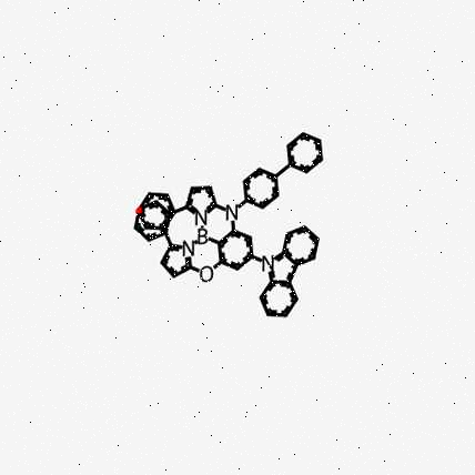 c1ccc(-c2ccc(N3c4cc(-n5c6ccccc6c6ccccc65)cc5c4B(n4c(ccc4-c4ccccc4)O5)n4c(-c5ccccc5)ccc43)cc2)cc1